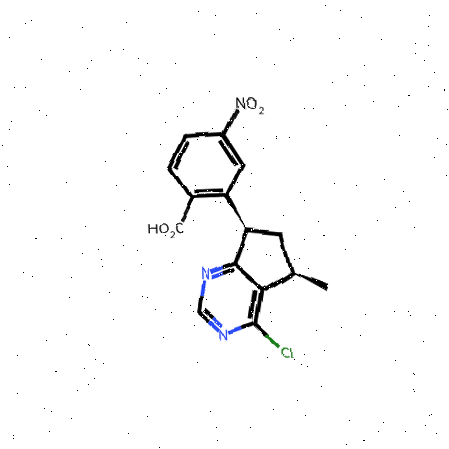 C[C@@H]1C[C@H](c2cc([N+](=O)[O-])ccc2C(=O)O)c2ncnc(Cl)c21